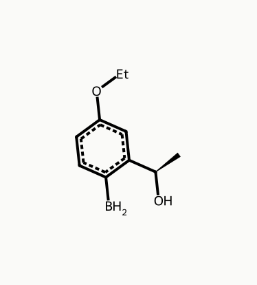 Bc1ccc(OCC)cc1[C@@H](C)O